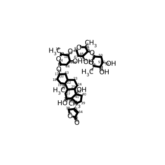 C[C@@H]1OC(O[C@@H]2[C@H](C)O[C@@H](O[C@@H]3[C@H](C)O[C@@H](O[C@H]4CC[C@@]5(C)C(CCC6C5C[C@H](O)[C@]5(C)[C@@H](C7=CC(=O)OC7)CC[C@]65O)C4)C[C@@H]3O)C[C@@H]2O)C[C@H](O)[C@@H]1O